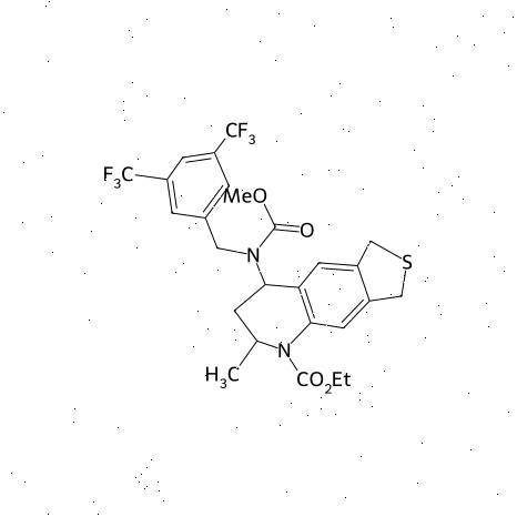 CCOC(=O)N1c2cc3c(cc2C(N(Cc2cc(C(F)(F)F)cc(C(F)(F)F)c2)C(=O)OC)CC1C)CSC3